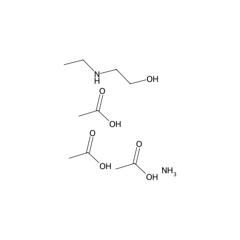 CC(=O)O.CC(=O)O.CC(=O)O.CCNCCO.N